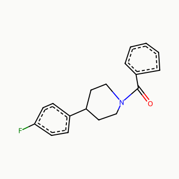 O=C(c1ccccc1)N1CCC(c2ccc(F)cc2)CC1